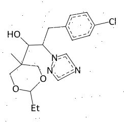 CCC1OCC(C)(C(O)C(Cc2ccc(Cl)cc2)n2cncn2)CO1